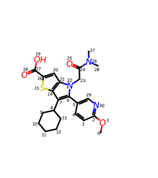 COc1ccc(-c2c(C3CCCCC3)c3sc(C(=O)O)cc3n2CC(=O)N(C)C)cn1